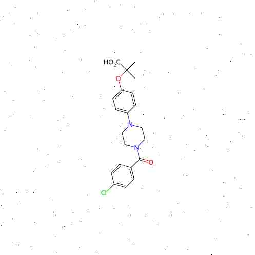 CC(C)(Oc1ccc(N2CCN(C(=O)c3ccc(Cl)cc3)CC2)cc1)C(=O)O